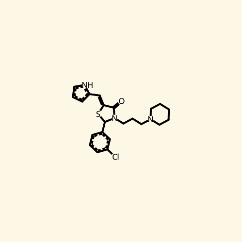 O=C1/C(=C/c2ccc[nH]2)SC(c2cccc(Cl)c2)N1CCCN1CCCCC1